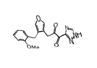 COc1ccccc1Cc1cocc1CC(=O)C(=O)c1nc[nH]n1